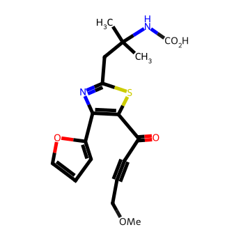 COCC#CC(=O)c1sc(CC(C)(C)NC(=O)O)nc1-c1ccco1